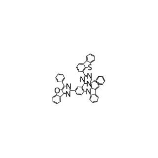 c1ccc(-c2nc(-c3cc(-c4nc(-c5ccccc5)c5oc6ccccc6c5n4)ccc3-n3c4ccccc4c4ccccc43)nc(-c3cccc4c3sc3ccccc34)n2)cc1